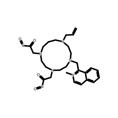 C=CCN1CCCN(CC(=O)N=O)CCN(CC(=O)N=O)CCN(Cc2c3ccccc3cc[n+]2C)CC1